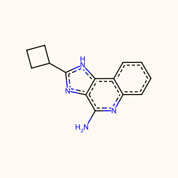 Nc1nc2ccccc2c2[nH]c(C3CCC3)nc12